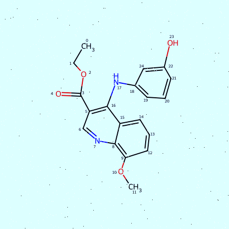 CCOC(=O)c1cnc2c(OC)cccc2c1Nc1cccc(O)c1